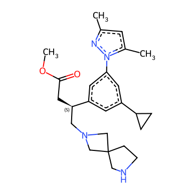 COC(=O)C[C@H](CN1CC2(CCNC2)C1)c1cc(C2CC2)cc(-n2nc(C)cc2C)c1